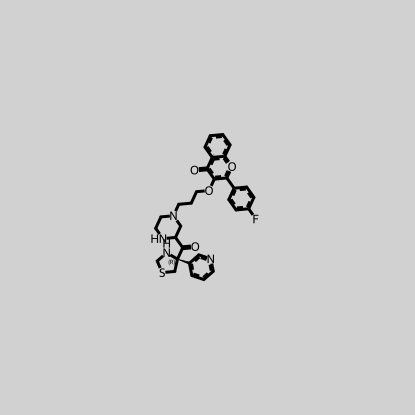 O=C(C1CN(CCCOc2c(-c3ccc(F)cc3)oc3ccccc3c2=O)CCN1)[C@]1(c2cccnc2)CSCN1